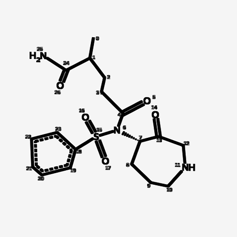 CC(C[CH]C(=O)N([C@H]1CCCNCC1=O)S(=O)(=O)c1ccccc1)C(N)=O